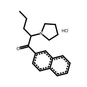 CCCC(C(=O)c1ccc2ccccc2c1)N1CCCC1.Cl